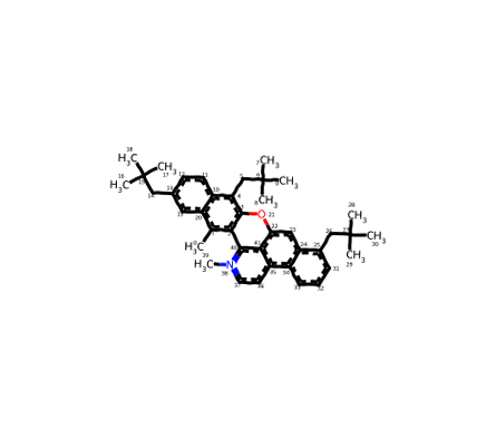 Cc1c2c(c(CC(C)(C)C)c3ccc(CC(C)(C)C)cc13)Oc1cc3c(CC(C)(C)C)cccc3c3cc[n+](C)c-2c13